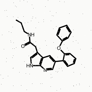 CCCNC(=O)Cc1c[nH]c2ncc(-c3ccccc3Oc3ccccc3)cc12